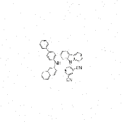 N#Cc1ccc(-n2c3ccccc3c3ccc(-c4cc(-c5ccccc5)ccc4Nc4ccc5ccccc5c4)cc32)c(C#N)c1